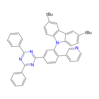 CC(C)(C)c1ccc2c(c1)c1cc(C(C)(C)C)ccc1n2-c1cc(-c2nc(-c3ccccc3)nc(-c3ccccc3)n2)ccc1-c1cccnc1